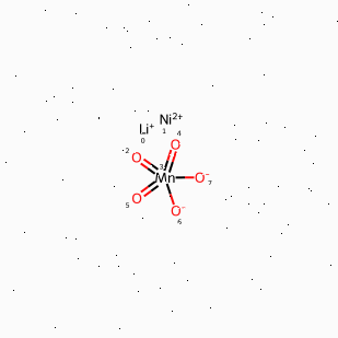 [Li+].[Ni+2].[O]=[Mn](=[O])(=[O])([O-])[O-]